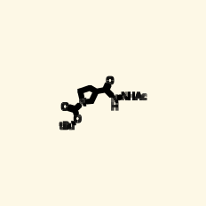 CC(=O)NNC(=O)C1CCN(C(=O)OC(C)(C)C)C1